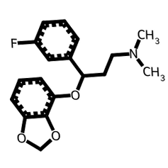 CN(C)CCC(Oc1cccc2c1OCO2)c1cccc(F)c1